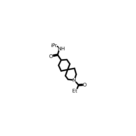 CCC(=O)N1CCC2(CCC(C(=O)NC(C)C)CC2)CC1